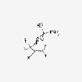 FC(F)=C(F)C(F)(F)F.NC(=O)O